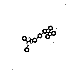 Nc1c(/C(=N\Cc2ccccc2)c2ccccc2)oc2ccc(-c3ccc(-c4ccc5c(c4)C4(c6ccccc6-c6ccccc64)c4ccccc4-5)cc3)cc12